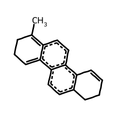 CC1=c2ccc3c4c(ccc3c2=CCC1)CCC=C4